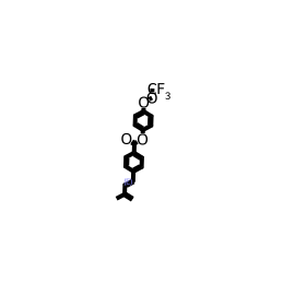 C=C(C)/C=C/c1ccc(C(=O)Oc2ccc(OOC(F)(F)F)cc2)cc1